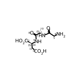 C[C@H](NC(=O)CN)C(=O)N[C@@H](CC(=O)O)C(=O)O